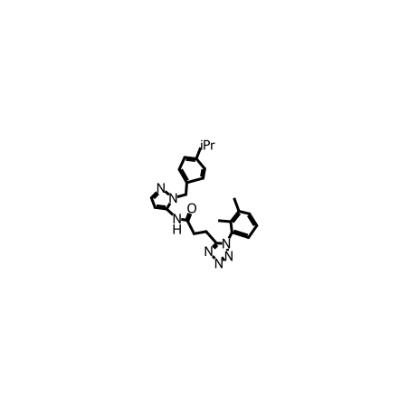 Cc1cccc(-n2nnnc2CCC(=O)Nc2ccnn2Cc2ccc(C(C)C)cc2)c1C